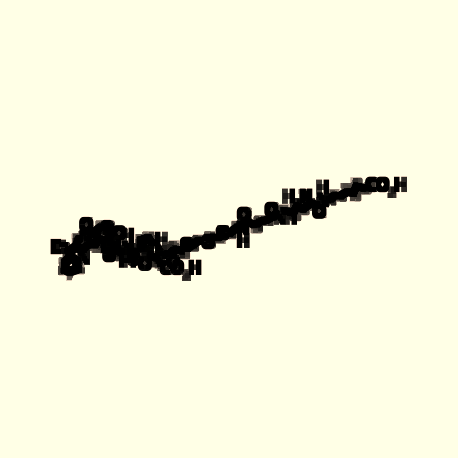 CCc1c2c(nc3ccccc13)-c1cc3c(c(=O)n1C2)COC(=O)[C@@]3(CC)OC(=O)[C@@H](NC(=O)[C@@H]1CCCN1C(=O)[C@H](CC(=O)O)NC(=O)CCOCCOCCOCCNC(=O)CCCC(=O)NCCCC[C@H](N)C(=O)NCCCCCCCC(=O)O)C(C)C